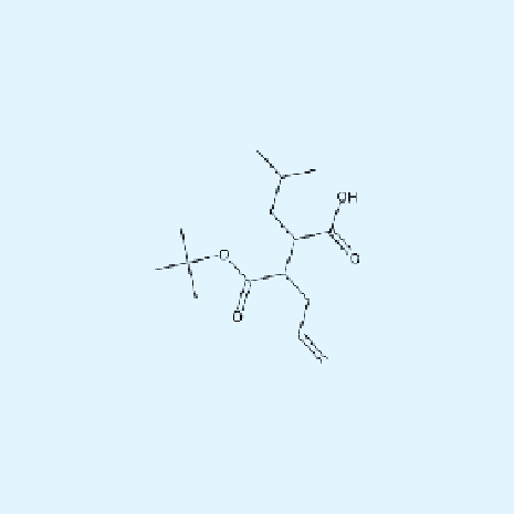 C=CCC(C(=O)OC(C)(C)C)C(CC(C)C)C(=O)O